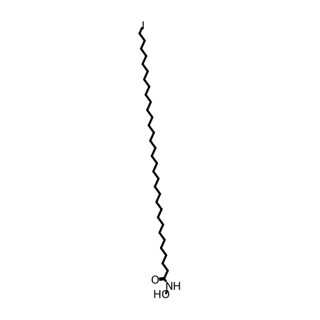 O=C(CCCCCCCCCCCCCCCCCCCCCCCCCCCCCCCCI)NO